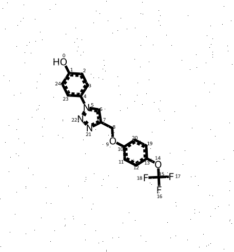 Oc1ccc(-n2cc(COc3ccc(OC(F)(F)F)cc3)nn2)cc1